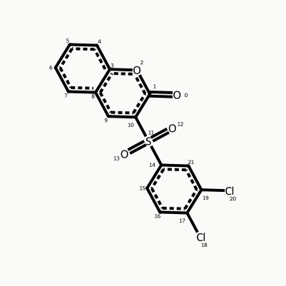 O=c1oc2ccccc2cc1S(=O)(=O)c1ccc(Cl)c(Cl)c1